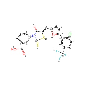 O=C(O)c1cccc(N2C(=O)C(=Cc3ccc(-c4cc(C(F)(F)F)ccc4Cl)o3)SC2=S)c1